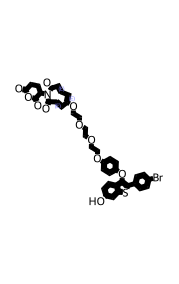 O=C1CCC(N2C(=O)/C=C/C=C(OCCOCCOCCOc3ccc(Oc4c(-c5ccc(Br)cc5)sc5cc(O)ccc45)cc3)\C=C\C2=O)C(=O)O1